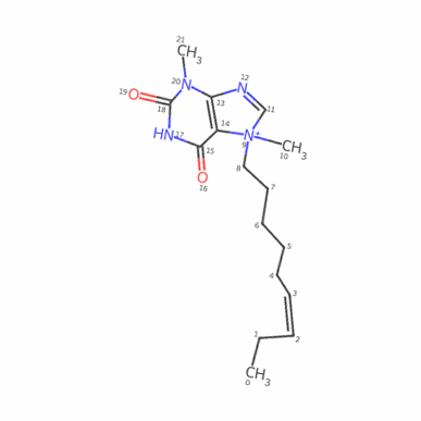 CC/C=C\CCCCC[N+]1(C)C=Nc2c1c(=O)[nH]c(=O)n2C